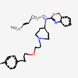 CN(C1=Nc2ccccc2CS1)C1CCN(CCOCCc2ccc(F)cc2)CC1.O=C(O)C=CC(=O)O